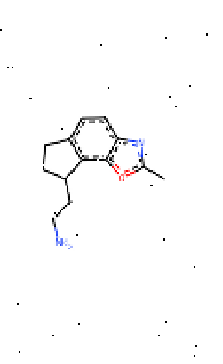 Cc1nc2ccc3c(c2o1)C(CCN)CC3